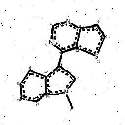 Cn1cc(-c2ncnc3ccsc23)c2ccccc21